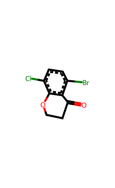 O=C1CCOc2c(Cl)ccc(Br)c21